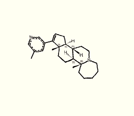 Cc1cncc(C2=CC[C@H]3[C@@H]4CCN5CCCCC[C@]5(C)[C@H]4CC[C@]23C)c1